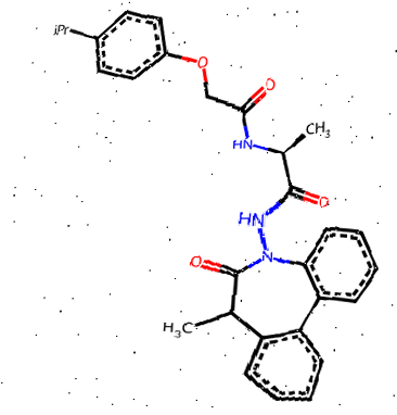 CC(C)c1ccc(OCC(=O)N[C@@H](C)C(=O)NN2C(=O)C(C)c3ccccc3-c3ccccc32)cc1